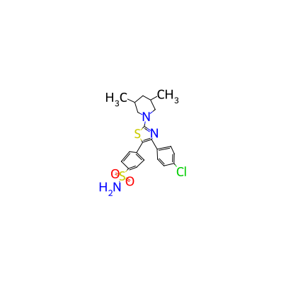 CC1CC(C)CN(c2nc(-c3ccc(Cl)cc3)c(-c3ccc(S(N)(=O)=O)cc3)s2)C1